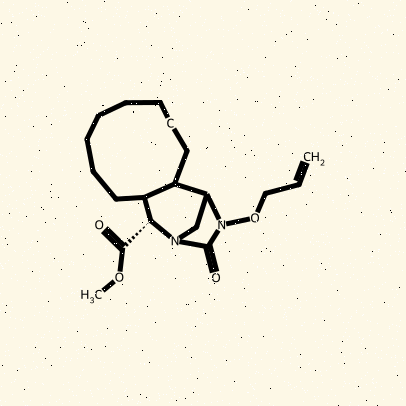 C=CCON1C(=O)N2CC1C1CCCCCCCCC1[C@H]2C(=O)OC